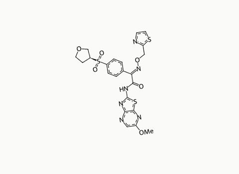 COc1cnc2nc(NC(=O)/C(=N/OCc3nccs3)c3ccc(S(=O)(=O)[C@H]4CCOC4)cc3)sc2n1